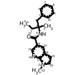 CCC(C)(Cc1ccccc1)NC(=O)c1cnc2c(ccn2C)c1